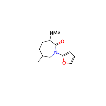 CNC1CCC(C)CN(c2ccco2)C1=O